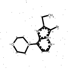 CCc1nc2c(N3CCOCC3)ccnn2c1Br